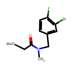 COCC(=O)N(C)Cc1ccc(F)c(Br)c1